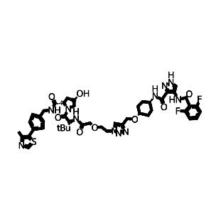 Cc1ncsc1-c1ccc(CNC(=O)[C@@H]2C[C@@H](O)CN2C(=O)[C@@H](NC(=O)COCCn2cc(CO[C@H]3CC[C@H](NC(=O)c4n[nH]cc4NC(=O)c4c(F)cccc4F)CC3)nn2)C(C)(C)C)cc1